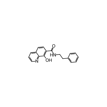 O=C(NCCc1ccccc1)c1ccc2cccnc2c1O